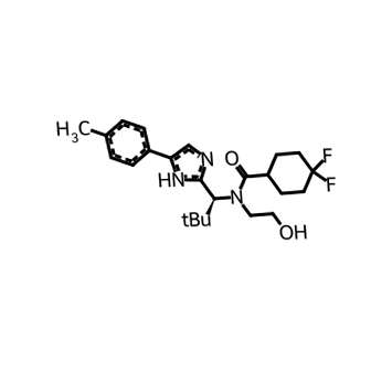 Cc1ccc(-c2cnc([C@@H](N(CCO)C(=O)C3CCC(F)(F)CC3)C(C)(C)C)[nH]2)cc1